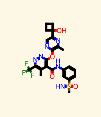 Cc1nc(C2(O)CCC2)cnc1Oc1nnc(C(F)(F)F)c(C)c1C(=O)Nc1cccc(S(C)(=N)=O)c1